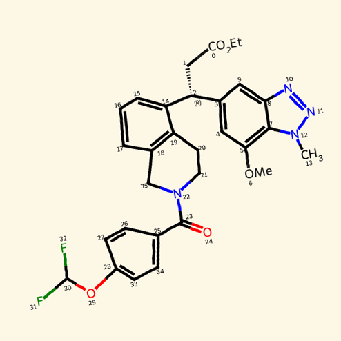 CCOC(=O)C[C@H](c1cc(OC)c2c(c1)nnn2C)c1cccc2c1CCN(C(=O)c1ccc(OC(F)F)cc1)C2